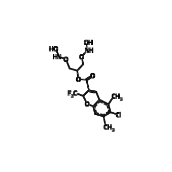 Cc1cc2c(c(C)c1Cl)C=C(C(=O)OC(CONO)CONO)C(C(F)(F)F)O2